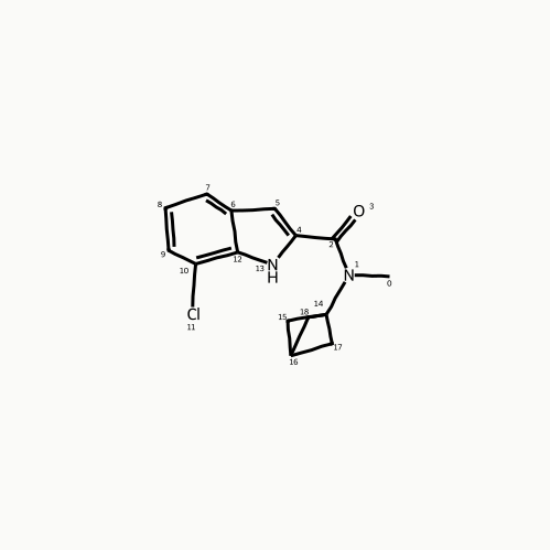 CN(C(=O)c1cc2cccc(Cl)c2[nH]1)C12CC(C1)C2